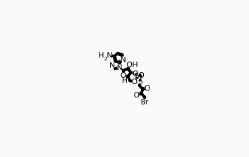 Nc1ccnc2c1ncn2[C@@H]1O[C@@H]2COP(=O)(SCC(=O)C(=O)CBr)OC2C1O